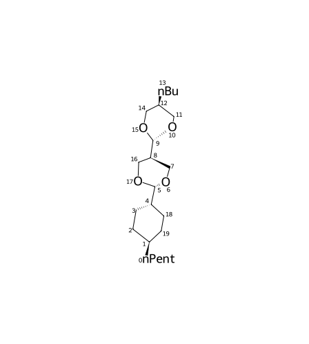 CCCCC[C@H]1CC[C@H]([C@H]2OC[C@H]([C@H]3OC[C@H](CCCC)CO3)CO2)CC1